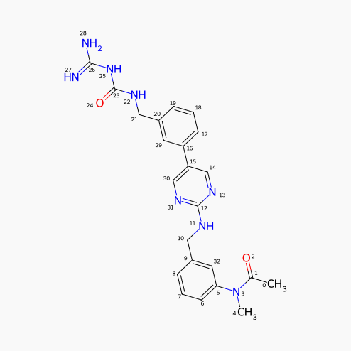 CC(=O)N(C)c1cccc(CNc2ncc(-c3cccc(CNC(=O)NC(=N)N)c3)cn2)c1